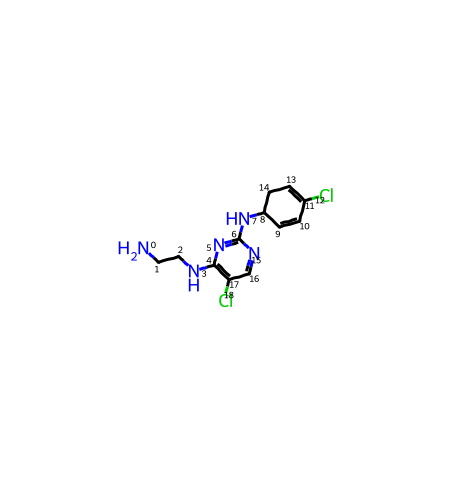 NCCNc1nc(NC2C=CC(Cl)=CC2)ncc1Cl